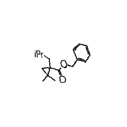 CC(C)CC1(C(=O)OCc2ccccc2)CC1(C)C